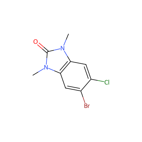 Cn1c(=O)n(C)c2cc(Br)c(Cl)cc21